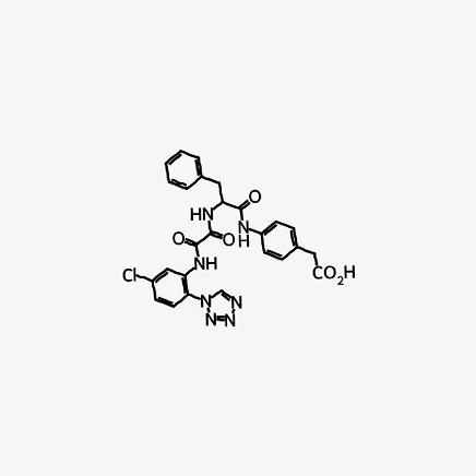 O=C(O)Cc1ccc(NC(=O)C(Cc2ccccc2)NC(=O)C(=O)Nc2cc(Cl)ccc2-n2cnnn2)cc1